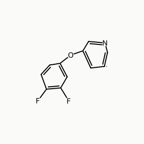 Fc1ccc(Oc2c[c]cnc2)cc1F